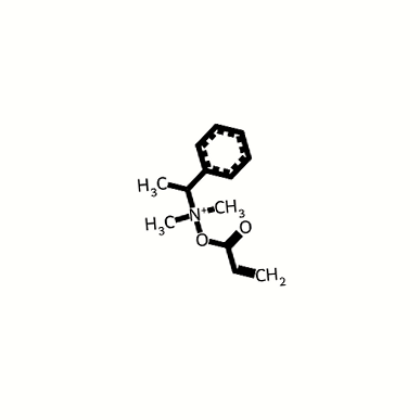 C=CC(=O)O[N+](C)(C)C(C)c1ccccc1